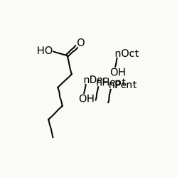 CCCCCC.CCCCCC(=O)O.CCCCCCCC.CCCCCCCCCCO.CCCCCCCCO